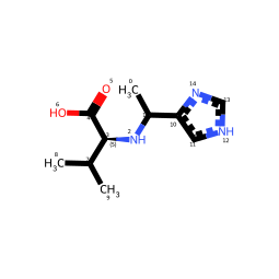 CC(N[C@H](C(=O)O)C(C)C)c1c[nH]cn1